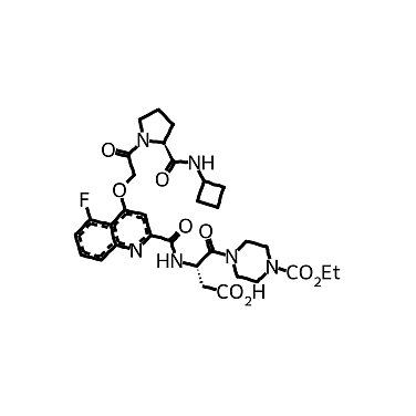 CCOC(=O)N1CCN(C(=O)[C@H](CC(=O)O)NC(=O)c2cc(OCC(=O)N3CCC[C@H]3C(=O)NC3CCC3)c3c(F)cccc3n2)CC1